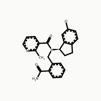 Cc1ncccc1C(=O)N(Cc1ccccc1C(N)=O)[C@@H]1CCc2ccc(Cl)cc21